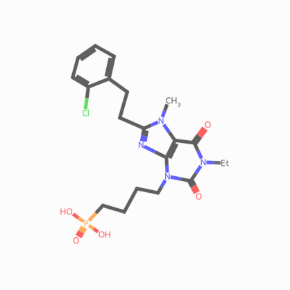 CCn1c(=O)c2c(nc(CCc3ccccc3Cl)n2C)n(CCCCP(=O)(O)O)c1=O